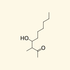 CCCCCCC(O)C(C)C(C)=O